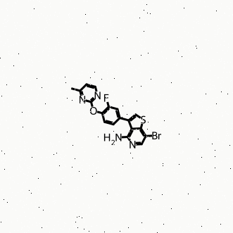 Cc1ccnc(Oc2ccc(-c3csc4c(Br)cnc(N)c34)cc2F)n1